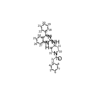 O=C(Cc1ccccc1)N1CCC(NC2N=C(c3ccccc3)c3ccccc3N2)CC1